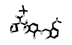 CN(C)Cc1cccc(F)c1CNc1ccc(S(=O)(=O)N(C(=O)OC(C)(C)C)c2cscn2)c(F)c1Cl